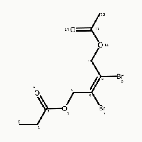 CCC(=O)OC/C(Br)=C(/Br)COC(C)=O